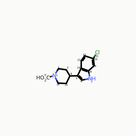 O=C(O)N1CCC(c2c[nH]c3cc(Cl)ccc23)CC1